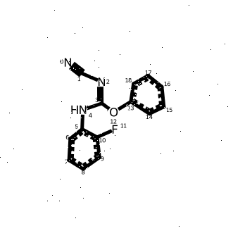 N#C/N=C(\Nc1ccccc1F)Oc1ccccc1